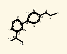 CCCc1ccc(-c2[c]ccc(C(C)C)c2)cc1